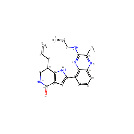 C=CCNc1nc2c(-c3cc4c([nH]3)C(CC=C)CNC4=O)cccc2nc1C